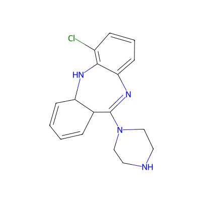 Clc1cccc2c1NC1C=CC=CC1C(N1CCNCC1)=N2